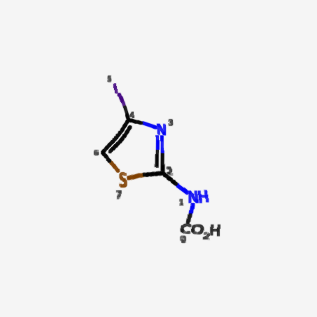 O=C(O)Nc1nc(I)cs1